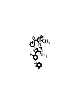 CNC1(C=C(C#N)C(=O)N2CCC[C@H](n3nc(-c4ccc(Oc5cccc(F)c5F)cc4F)c4c(N)ncnc43)C2)CC1